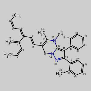 C=C(/C=C\C)C(=C\C=C/C)/C=C/C1=C(C)N(C)c2c(-c3ccccc3)c(-c3ccccc3C)nn2C1